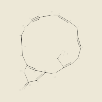 CC/C1=C\C/C=C\C/C=C\CC#CCCCCc2cc(cc(=O)o2)O1